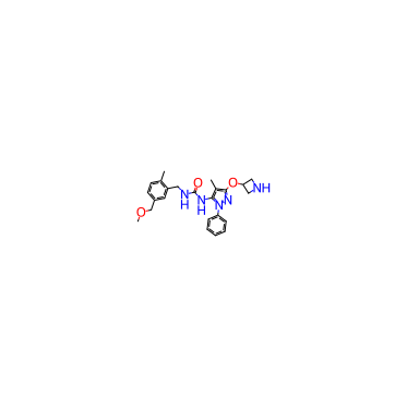 COCc1ccc(C)c(CNC(=O)Nc2c(C)c(OC3CNC3)nn2-c2ccccc2)c1